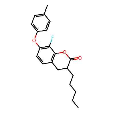 CCCCCC1Cc2ccc(Oc3ccc(C)cc3)c(F)c2OC1=O